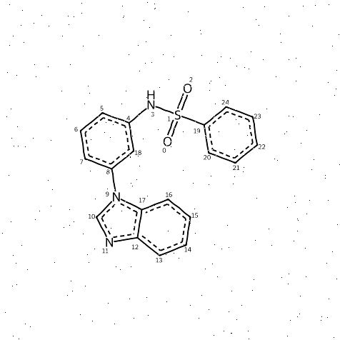 O=S(=O)(Nc1cccc(-n2cnc3ccccc32)c1)c1ccccc1